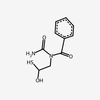 NC(=O)N(CC(O)S)C(=O)c1ccccc1